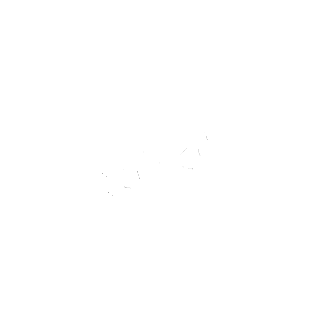 O=C(O)c1cccc(CNC(=O)c2ccc3[nH]cnc3c2)c1